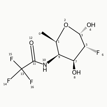 C[C@H]1O[C@H](O)[C@H](F)[C@@H](O)[C@H]1NC(=O)C(F)(F)F